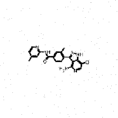 Cc1ccnc(NC(=O)c2ccc(-c3n[nH]c4c(Cl)cnc(N)c34)c(C)c2)c1